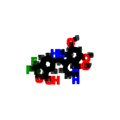 COc1cc(OC)c2[nH]c(-c3ccc(C(F)(F)F)c(C(=O)O)c3)c3c2c1C(=O)NCC3